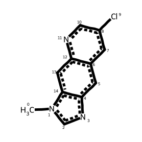 Cn1cnc2cc3cc(Cl)cnc3cc21